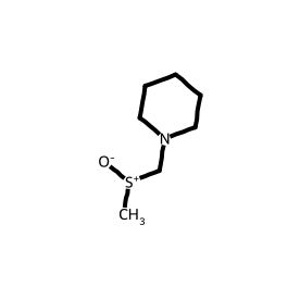 C[S+]([O-])CN1CCCCC1